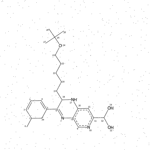 CC1C=CC=C(C2=Nc3cnc(C(O)O)cc3NC2CCCCCOC(C)(C)C)C1